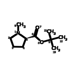 CN1CCC[C@H]1C(=O)OC(C)(C)C